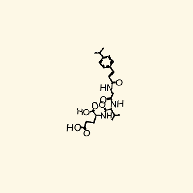 CC(C)c1ccc(/C=C/C(=O)NCC(=O)NC(C(=O)NC(CCC(=O)O)C(=O)O)C(C)C)cc1